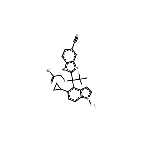 Cn1ccc2c(C(OCC(=O)O)(c3nc4cc(C#N)ccc4[nH]3)C(F)(F)F)c(C3CC3)ccc21